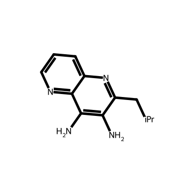 CC(C)Cc1nc2cccnc2c(N)c1N